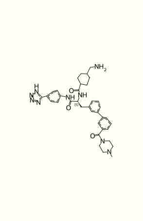 CN1CCN(C(=O)c2cccc(-c3cccc(C[C@H](NC(=O)C4CCC(CN)CC4)C(=O)Nc4ccc(-c5nnn[nH]5)cc4)c3)c2)CC1